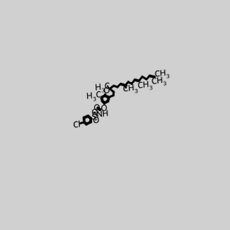 CC(C)=CCC/C(C)=C/CC/C(C)=C/CC[C@]1(C)CCc2cc(OC(=O)NS(=O)(=O)c3ccc(Cl)cc3)cc(C)c2O1